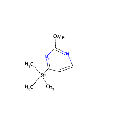 COc1ncc[c]([Sn]([CH3])([CH3])[CH3])n1